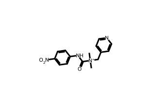 C[N+](C)(Cc1ccncc1)C(=O)Nc1ccc([N+](=O)[O-])cc1